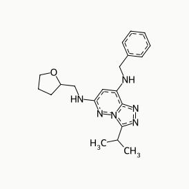 CC(C)c1nnc2c(NCc3ccccc3)cc(NCC3CCCO3)nn12